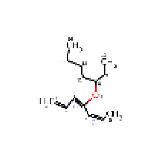 C=C/C=C(\C=C/C)OC(CC)CCCC